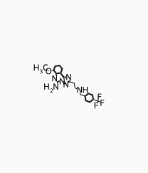 COc1cccc2c1nc(N)n1nc(CCNCc3ccc(C(F)(F)F)cc3)nc21